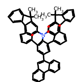 CC1(C)c2ccccc2-c2ccc(N(c3ccc4c(c3)C(C)(C)c3ccccc3-4)c3c(-c4ccccc4)cc(-c4cc5ccccc5c5ccccc45)cc3-c3cccc4ccccc34)cc21